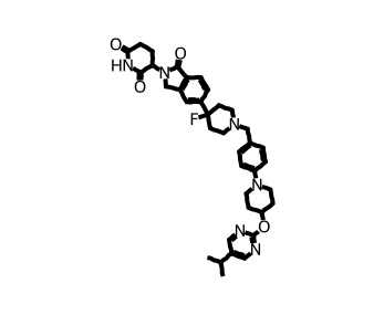 CC(C)c1cnc(OC2CCN(c3ccc(CN4CCC(F)(c5ccc6c(c5)CN(C5CCC(=O)NC5=O)C6=O)CC4)cc3)CC2)nc1